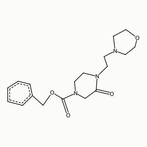 O=C1CN(C(=O)OCc2ccccc2)CCN1CCN1CCOCC1